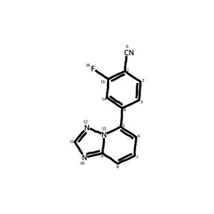 N#Cc1ccc(-c2cccc3ncnn23)cc1F